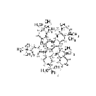 CC(C)(C)c1ccc(N2B3c4oc5ccc(C(C)(C)C)cc5c4-n4c5cc6c(cc5c5c7c(c(c3c54)-c3cc(C(C)(C)C)ccc32)-c2ccccc2C7(C)C)C(C)(C)CCC6(C)C)cc1